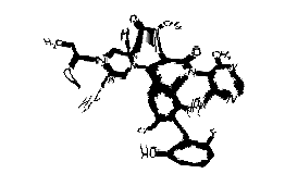 C=CC(=O)N1C[C@@H]2C(=O)N(C)c3c(c4cc(Cl)c(-c5c(O)cccc5F)c(F)c4n(-c4c(C)ncnc4C(C)C)c3=O)N2C[C@H]1C